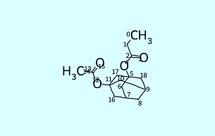 CCC(=O)OC12CC3CC(CC(OC(C)=O)(C3)C1)C2